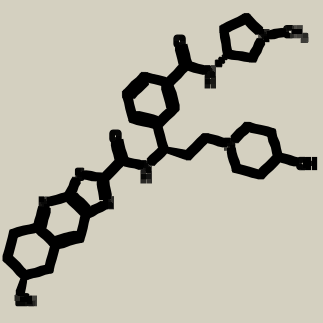 CN1CC[C@@H](NC(=O)c2cccc([C@@H](CCN3CCC(O)CC3)NC(=O)c3nc4cc5c(nc4s3)CC[C@H](C(C)(C)C)C5)c2)C1